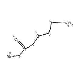 NCCOCC(=O)CBr